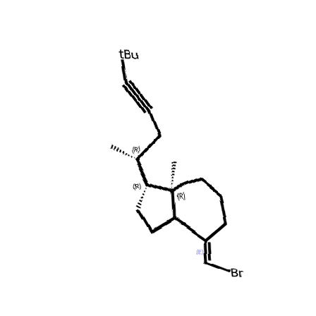 C[C@H](CC#CC(C)(C)C)[C@H]1CCC2/C(=C/Br)CCC[C@@]21C